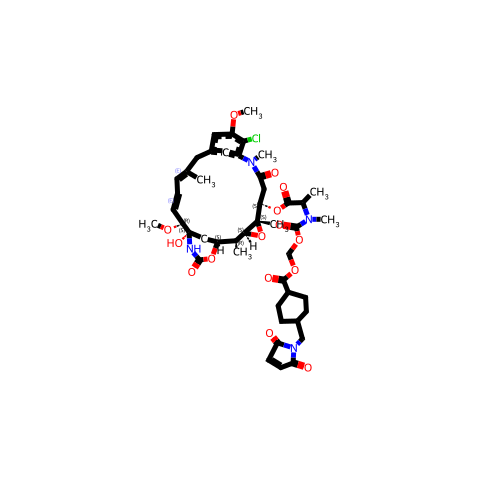 COc1cc2cc(c1Cl)N(C)C(=O)C[C@H](OC(=O)C(C)N(C)C(=O)OCOC(=O)C1CCC(CN3C(=O)C=CC3=O)CC1)[C@]1(C)O[C@H]1[C@H](C)[C@@H]1C[C@@](O)(NC(=O)O1)[C@H](OC)/C=C/C=C(\C)C2